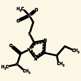 CCC(C)c1nc(SCS(C)(=O)=O)n(C(=O)N(C)C)n1